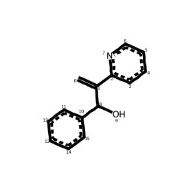 C=C(c1ccccn1)C(O)c1ccccc1